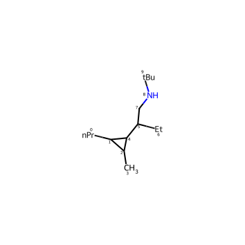 CCCC1C(C)C1C(CC)CNC(C)(C)C